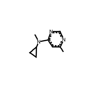 Cc1cc(N(C)C2CC2)ncn1